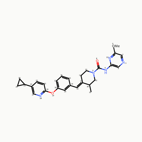 COc1cncc(NC(=O)N2CCC(=Cc3cccc(Oc4ccc(C5CC5)cn4)c3)C(C)C2)n1